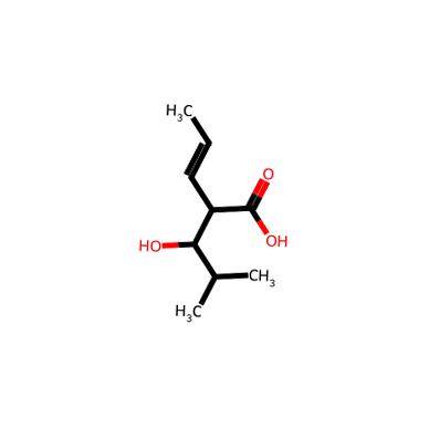 CC=CC(C(=O)O)C(O)C(C)C